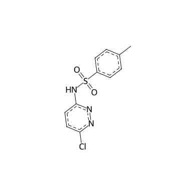 Cc1ccc(S(=O)(=O)Nc2ccc(Cl)nn2)cc1